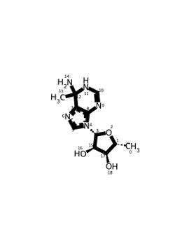 C[C@H]1O[C@@H](n2cnc3c2N=CNC3(C)N)[C@H](O)[C@@H]1O